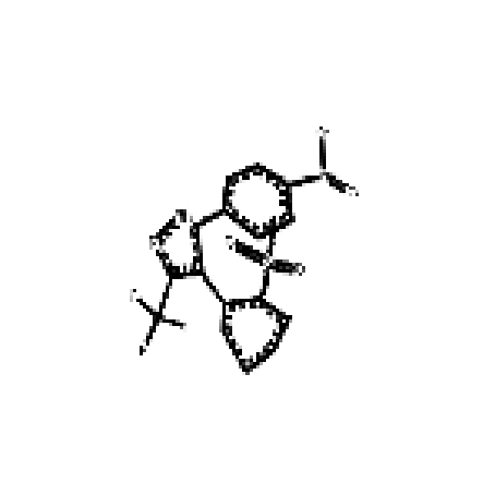 CS(=O)(=O)c1ccccc1-c1c(C(F)(F)F)n[nH]c1-c1ccc([N+](=O)[O-])cc1